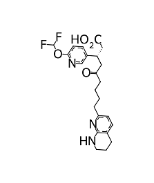 O=C(O)C[C@H](CC(=O)CCCCc1ccc2c(n1)NCCC2)c1ccc(OC(F)F)nc1